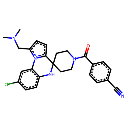 CN(C)Cc1ccc2n1-c1cc(Cl)ccc1NC21CCN(C(=O)c2ccc(C#N)cc2)CC1